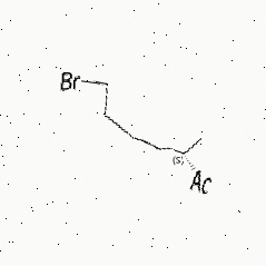 CC(=O)[C@@H](C)CCCCBr